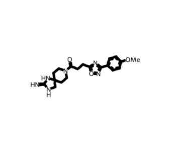 COc1ccc(-c2noc(CCC(=O)N3CCC4(CC3)CNC(=N)N4)n2)cc1